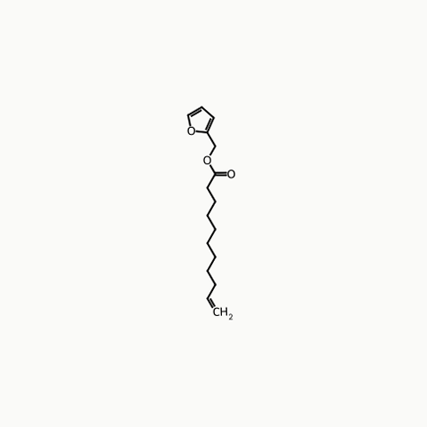 C=CCCCCCCCCC(=O)OCc1ccco1